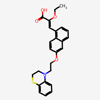 CCOC(=Cc1cccc2cc(OCCN3CCSc4ccccc43)ccc12)C(=O)O